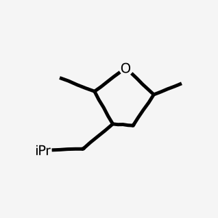 CC(C)CC1CC(C)OC1C